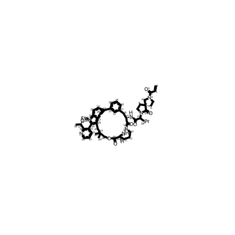 C=CC(=O)N1CC[C@]2(CCN(C(C(=O)N[C@H]3Cc4cccc(c4)-c4ccc5c(c4)c(c(-c4cccnc4[C@H](C)OC)n5CC)CC(C)(C)COC(=O)[C@@H]4CCCN(N4)C3=O)C(C)C)C2=O)C1